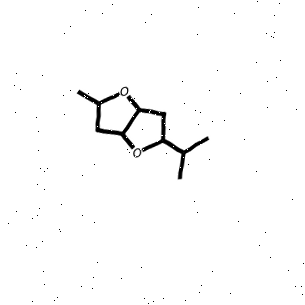 CC1CC2OC(C(C)C)CC2O1